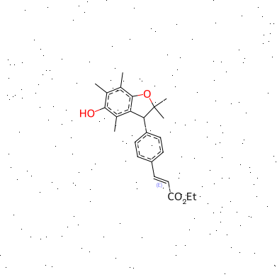 CCOC(=O)/C=C/c1ccc(C2c3c(C)c(O)c(C)c(C)c3OC2(C)C)cc1